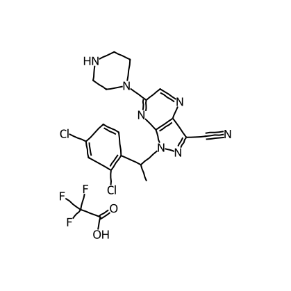 CC(c1ccc(Cl)cc1Cl)n1nc(C#N)c2ncc(N3CCNCC3)nc21.O=C(O)C(F)(F)F